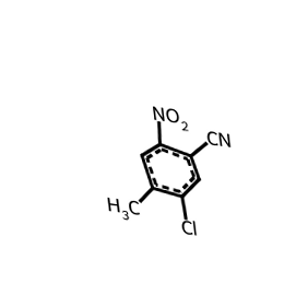 Cc1cc([N+](=O)[O-])c(C#N)cc1Cl